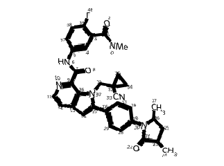 CNC(=O)c1cc(NC(=O)c2nccc3cc(-c4ccc(N5C(=O)C(C)CC5C)cc4)n(CC4(C#N)CC4)c23)ccc1F